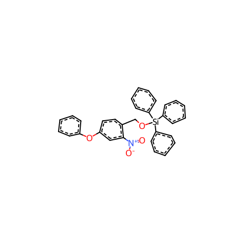 O=[N+]([O-])c1cc(Oc2ccccc2)ccc1CO[Si](c1ccccc1)(c1ccccc1)c1ccccc1